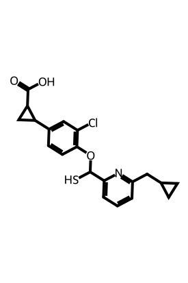 O=C(O)C1CC1c1ccc(OC(S)c2cccc(CC3CC3)n2)c(Cl)c1